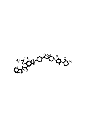 CC(C)Oc1cc2nn(C3CCN(C(=O)CC4(O)CCN(c5cc(F)c(C6CCCNC6=O)cc5F)CC4)CC3)cc2cc1C(=O)Nc1cnn2cccnc12